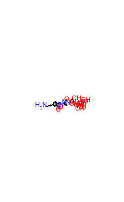 NCC#Cc1ccc(CNc2ccn([C@H]3C[C@H](O)[C@@H](COP(=O)(O)OP(=O)(O)OP(=O)(O)O)O3)c(=O)n2)c([N+](=O)[O-])c1